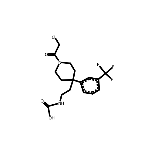 O=C(O)NCCC1(c2cccc(C(F)(F)F)c2)CCN(C(=O)CCl)CC1